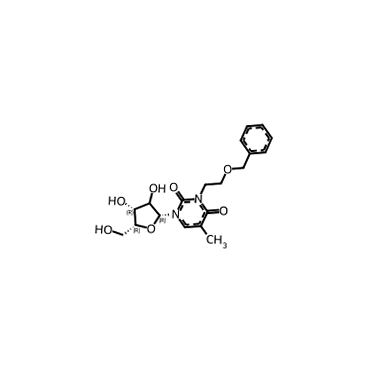 Cc1cn([C@@H]2O[C@H](CO)[C@H](O)C2O)c(=O)n(CCOCc2ccccc2)c1=O